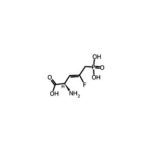 N[C@H](C=C(F)CP(=O)(O)O)C(=O)O